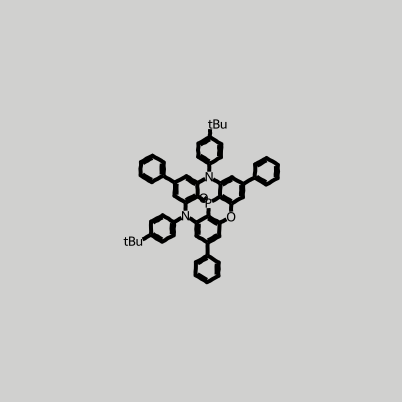 CC(C)(C)c1ccc(N2c3cc(-c4ccccc4)cc4c3P3(=O)c5c(cc(-c6ccccc6)cc5N(c5ccc(C(C)(C)C)cc5)c5cc(-c6ccccc6)cc2c53)O4)cc1